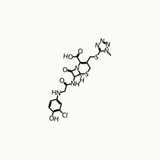 Cn1nnnc1SCC1=C(C(=O)O)N2C(=O)C(NC(=O)CNc3ccc(O)c(Cl)c3)[C@@H]2SC1